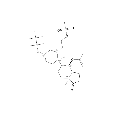 C=C1CCC2[C@H](OC(C)=O)C([C@@]3(C)CC[C@H](O[Si](C)(C)C(C)(C)C)C[C@@H]3CCOS(C)(=O)=O)CC[C@]12C